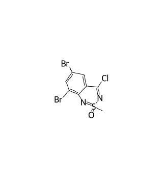 CS1(=O)=Nc2c(Br)cc(Br)cc2C(Cl)=N1